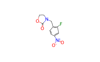 O=C1OCCN1Cc1ccc([N+](=O)[O-])cc1F